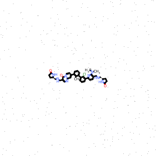 Cc1c(-c2ccn3c(=O)c(CNC[C@H]4CCC(=O)N4)cnc3c2)cccc1-c1cccc(-c2ccc(CNC[C@@H]3CCC(=O)N3)c(N(C)C)n2)c1Cl